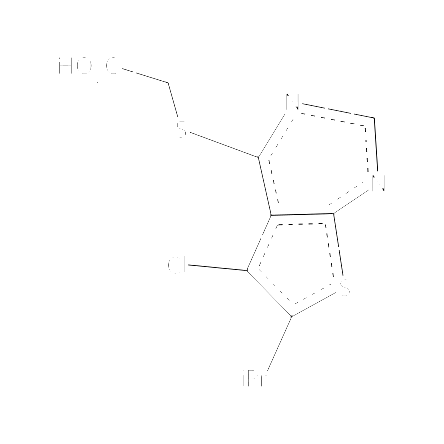 CC(C)c1sc2ncnc(SCC(=O)O)c2c1Cl